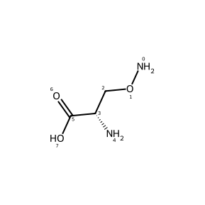 NOC[C@H](N)C(=O)O